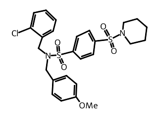 COc1ccc(CN(Cc2ccccc2Cl)S(=O)(=O)c2ccc(S(=O)(=O)N3CCCCC3)cc2)cc1